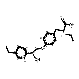 CCOC(Cc1ccc(OC[C@@H](O)c2ccc(CC)cn2)cc1)C(=O)O